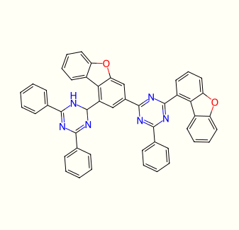 c1ccc(C2=NC(c3cc(-c4nc(-c5ccccc5)nc(-c5cccc6oc7ccccc7c56)n4)cc4oc5ccccc5c34)NC(c3ccccc3)=N2)cc1